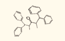 CC(C(=O)C(C)C(c1ccccc1)c1ccccc1)C(c1ccccc1)c1ccccc1